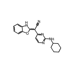 N#CC(=C1Nc2ccccc2O1)c1ccnc(NC2CCCCC2)n1